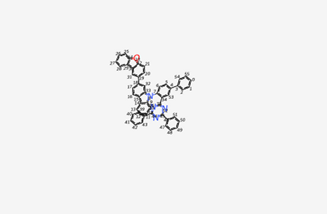 c1ccc(-c2ccc(-n3c4ccccc4c4ccc(-c5ccc6oc7ccccc7c6c5)cc43)c(-c3nc(-c4ccccc4)nc(-c4ccccc4)n3)c2)cc1